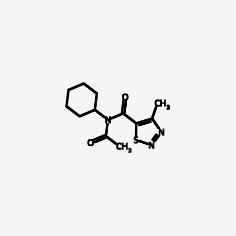 CC(=O)N(C(=O)c1snnc1C)C1CCCCC1